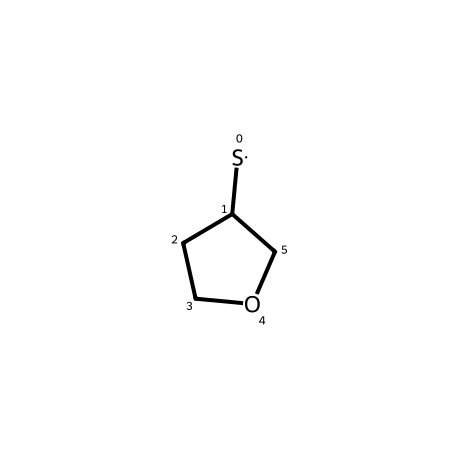 [S]C1CCOC1